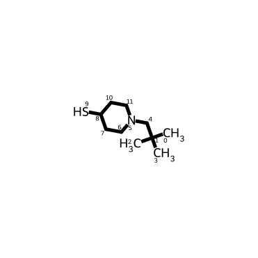 CC(C)(C)CN1CCC(S)CC1